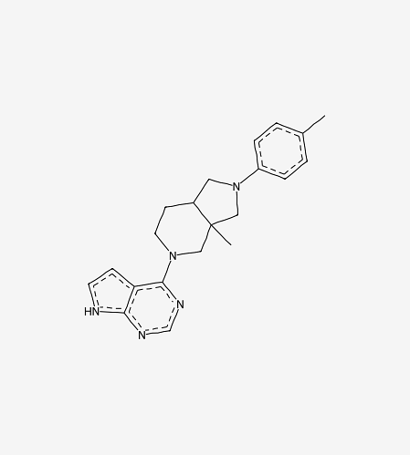 Cc1ccc(N2CC3CCN(c4ncnc5[nH]ccc45)CC3(C)C2)cc1